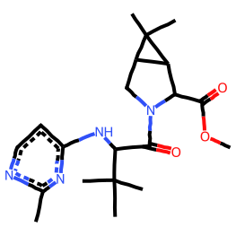 COC(=O)C1C2C(CN1C(=O)C(Nc1ccnc(C)n1)C(C)(C)C)C2(C)C